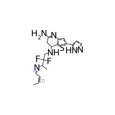 C/C=C\C=N/C(C)C(F)(F)CNC1CC(N)=Nc2cc(-c3ccn[nH]3)sc21